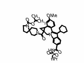 C=C(C)OC(=O)N1CCCC12CCN(C(=O)C13CC1c1cc(OC)ccc1-c1c(C4CCCCC4)c4ccc(C(=O)NS(=O)(=O)CCC)cc4n1C3)CC2